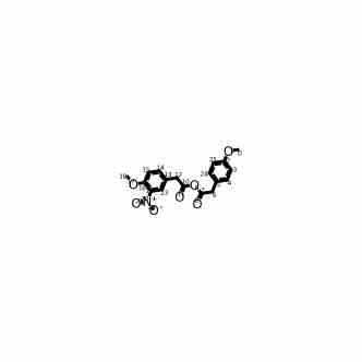 COc1ccc(CC(=O)OC(=O)Cc2ccc(OC)c([N+](=O)[O-])c2)cc1